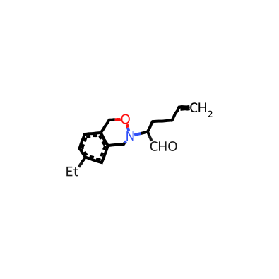 C=CCCC(C=O)N1Cc2cc(CC)ccc2CO1